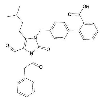 CC(C)CCc1c(C=O)n(C(=O)Cc2ccccc2)c(=O)n1Cc1ccc(-c2ccccc2C(=O)O)cc1